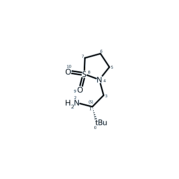 CC(C)(C)[C@H](N)CN1CCCS1(=O)=O